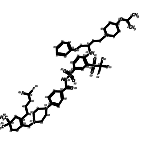 CC(C)OC1CCN(CCC(CSc2ccccc2)Nc2ccc(S(=O)(=O)NC(=O)c3ccc(N4CCN(CC5=C(CCCC(F)F)CC(C)(C)CC5)CC4)cc3)cc2S(=O)(=O)C(F)(F)F)CC1